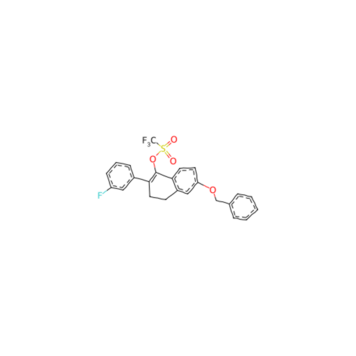 O=S(=O)(OC1=C(c2cccc(F)c2)CCc2cc(OCc3ccccc3)ccc21)C(F)(F)F